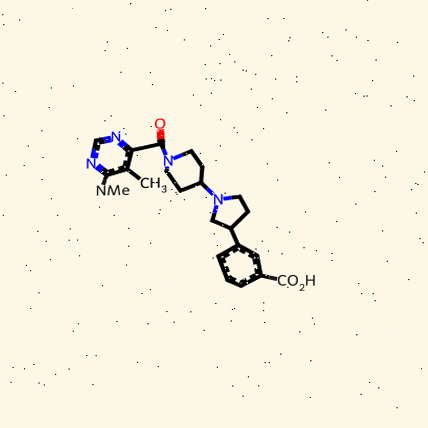 CNc1ncnc(C(=O)N2CCC(N3CCC(c4cccc(C(=O)O)c4)C3)CC2)c1C